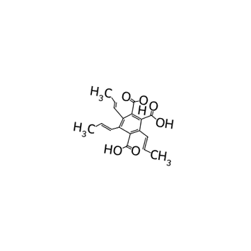 CC=Cc1c(C=CC)c(C(=O)O)c(C(=O)O)c(C=CC)c1C(=O)O